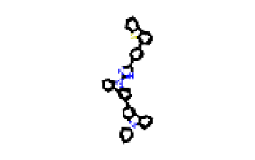 c1ccc(-n2c3ccccc3c3cc(-c4ccc5c(c4)c4ccccc4n5-c4ncc(-c5ccc(-c6cccc7c6sc6ccccc67)cc5)cn4)ccc32)cc1